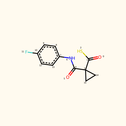 O=C(S)C1(C(=O)Nc2ccc(F)cc2)CC1